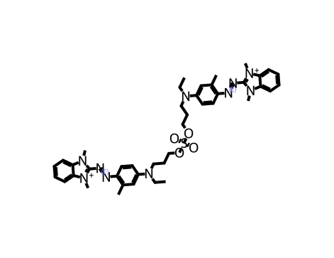 CCN(CCCOS(=O)(=O)OCCCN(CC)c1ccc(/N=N/c2n(C)c3ccccc3[n+]2C)c(C)c1)c1ccc(/N=N/c2n(C)c3ccccc3[n+]2C)c(C)c1